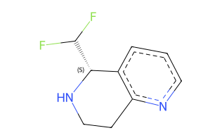 FC(F)[C@H]1NCCc2ncccc21